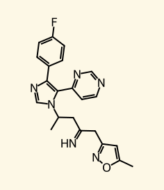 Cc1cc(CC(=N)CC(C)n2cnc(-c3ccc(F)cc3)c2-c2ccncn2)no1